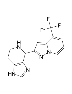 FC(F)(F)c1cccn2nc(C3NCCc4[nH]cnc43)cc12